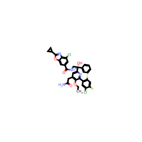 CCOc1c(CC(N)=O)cc([C@@](O)(CNC(=O)c2cc(Cl)c3nc(C4CC4)oc3c2)c2ccccc2)nc1-c1cc(Cl)c(F)cc1F